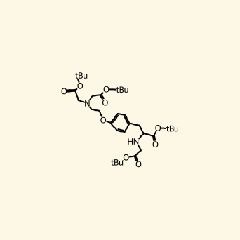 CC(C)(C)OC(=O)CNC(Cc1ccc(OCCN(CC(=O)OC(C)(C)C)CC(=O)OC(C)(C)C)cc1)C(=O)OC(C)(C)C